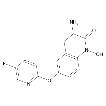 NC1Cc2cc(Oc3ccc(F)cn3)ccc2N(O)C1=O